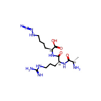 C[C@H](N)C(=O)N[C@@H](CCCNC(=N)N)C(=O)N[C@@H](CCCCNN=[N+]=[N-])C(=O)O